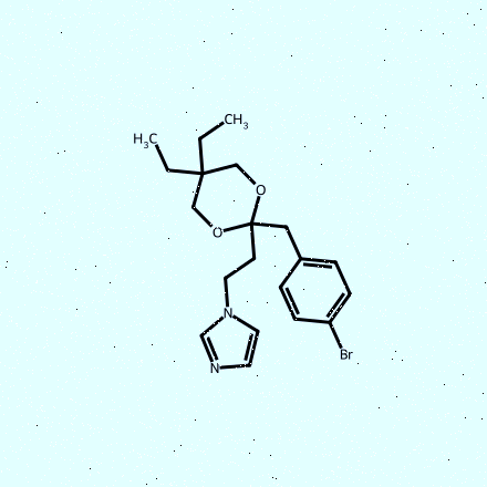 CCC1(CC)COC(CCn2ccnc2)(Cc2ccc(Br)cc2)OC1